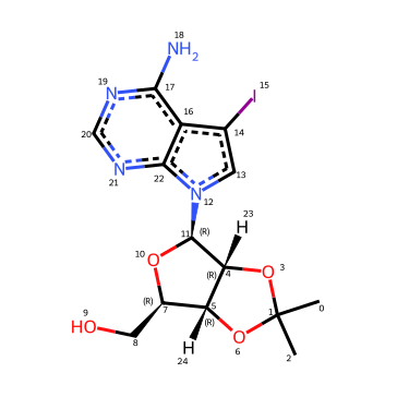 CC1(C)O[C@@H]2[C@H](O1)[C@@H](CO)O[C@H]2n1cc(I)c2c(N)ncnc21